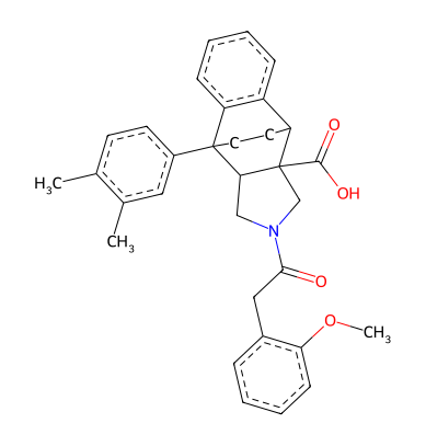 COc1ccccc1CC(=O)N1CC2C3(c4ccc(C)c(C)c4)CCC(c4ccccc43)C2(C(=O)O)C1